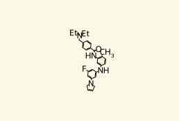 CCN(CC)Cc1ccc(C(=O)Nc2cc(Nc3cc(F)cc(N4CC=CC4)c3)ccc2C)cc1